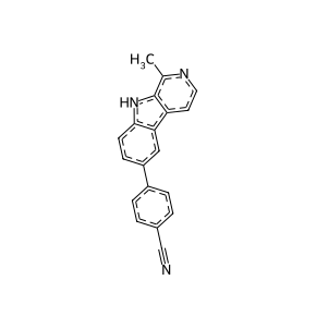 Cc1nccc2c1[nH]c1ccc(-c3ccc(C#N)cc3)cc12